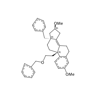 COc1ccc2c(c1)CCC1=C3C[C@H](OC)C[C@]3(Cc3ccccc3)CC[C@]12CCOCc1ccccc1